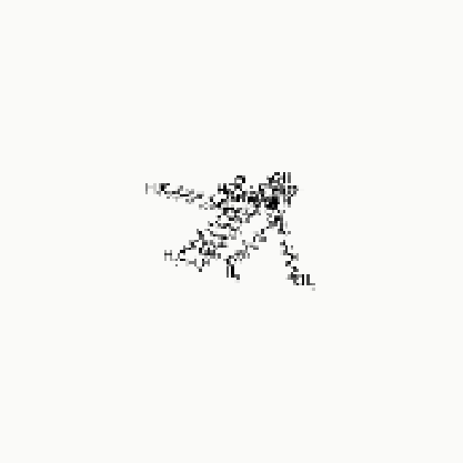 CCCCCCCCCCCC(CC(=O)NC(COC1OC(CO)C(OSO)C(NC(=O)CC(CCCCCCCCCCC)OCCCCCCCCCC)C1NC(=O)CC(CCCCCCCCCCC)OCCCCCCCCCC)C(=O)O)OCCCCCCCCCC